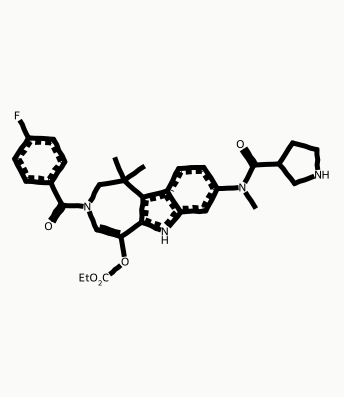 CCOC(=O)OC1=CN(C(=O)c2ccc(F)cc2)CC(C)(C)c2c1[nH]c1cc(N(C)C(=O)C3CCNC3)ccc21